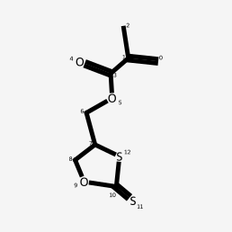 C=C(C)C(=O)OCC1COC(=S)S1